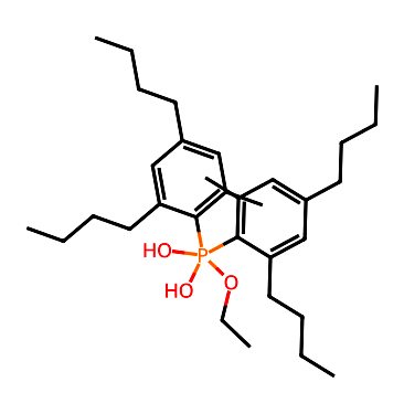 CCCCc1cc(C)c(P(O)(O)(OCC)c2c(C)cc(CCCC)cc2CCCC)c(CCCC)c1